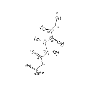 COC(=N)CC(=S)[C@@H](O)[C@H](O)[C@H](O)[C@@H](O)CO